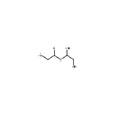 OCC(O)OC(F)CO